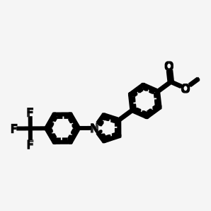 COC(=O)c1ccc(-c2ccn(-c3ccc(C(F)(F)F)cc3)c2)cc1